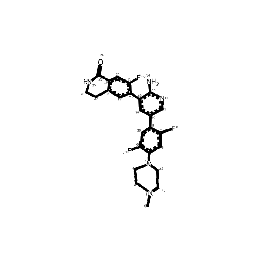 CN1CCN(c2cc(F)c(-c3cnc(N)c(-c4cc5c(cc4F)C(=O)NCC5)c3)cc2F)CC1